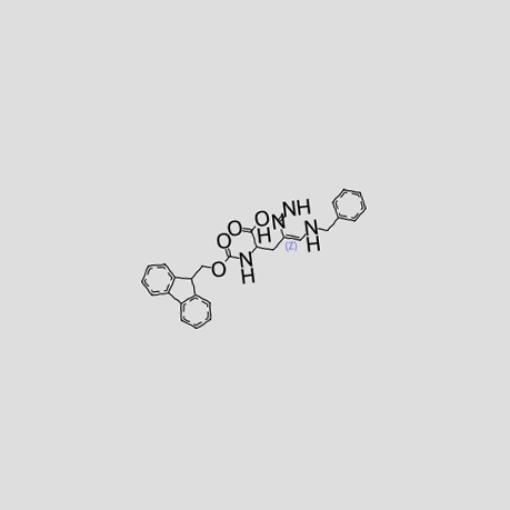 N=N/C(=C\NCc1ccccc1)CC(NC(=O)OCC1c2ccccc2-c2ccccc21)C(=O)O